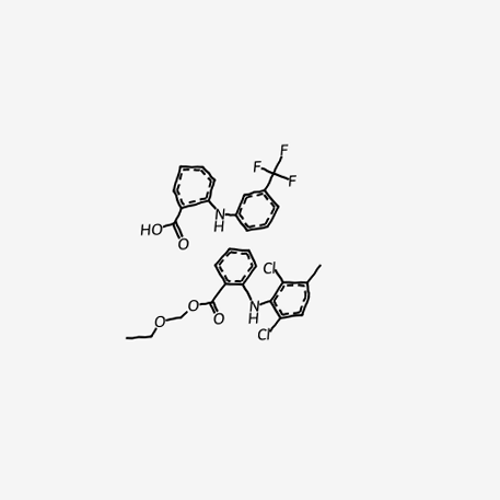 CCOCOC(=O)c1ccccc1Nc1c(Cl)ccc(C)c1Cl.O=C(O)c1ccccc1Nc1cccc(C(F)(F)F)c1